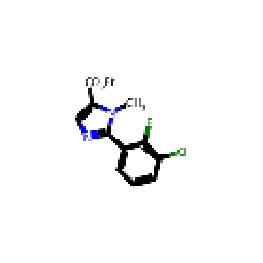 CCOC(=O)c1cnc(-c2cccc(Cl)c2F)n1C